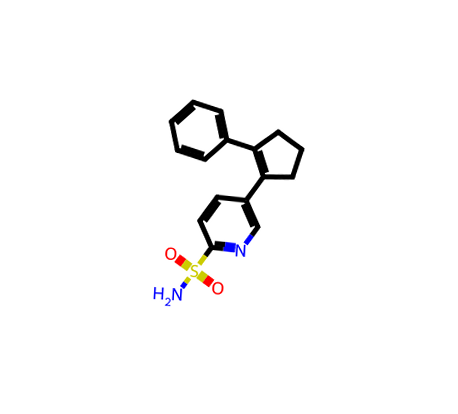 NS(=O)(=O)c1ccc(C2=C(c3ccccc3)CCC2)cn1